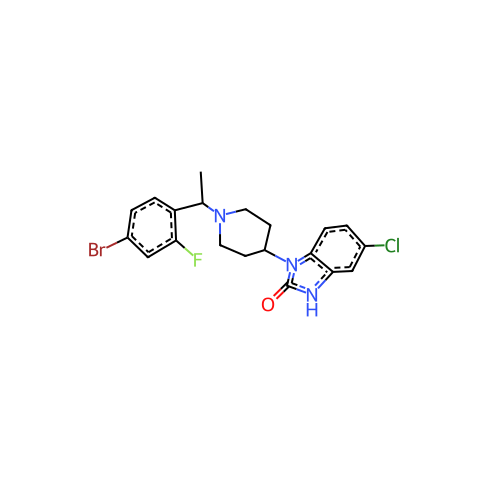 CC(c1ccc(Br)cc1F)N1CCC(n2c(=O)[nH]c3cc(Cl)ccc32)CC1